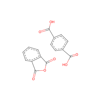 O=C(O)c1ccc(C(=O)O)cc1.O=C1OC(=O)c2ccccc21